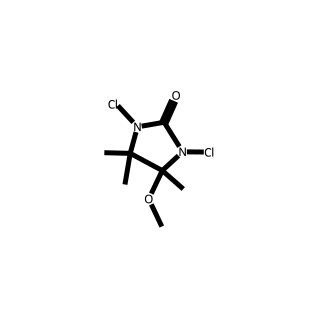 COC1(C)N(Cl)C(=O)N(Cl)C1(C)C